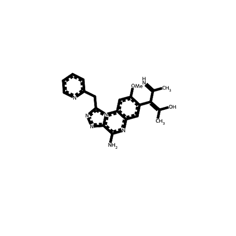 COc1cc2c(cc1/C(C(C)=N)=C(\C)O)nc(N)c1nnc(Cc3ccccn3)n12